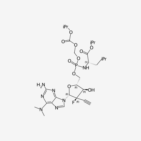 C#C[C@@]1(F)[C@H](O)[C@@H](COP(=O)(N[C@@H](CC(C)C)C(=O)OC(C)C)OCOC(=O)OC(C)C)O[C@H]1n1cnc2c(N(C)C)nc(N)nc21